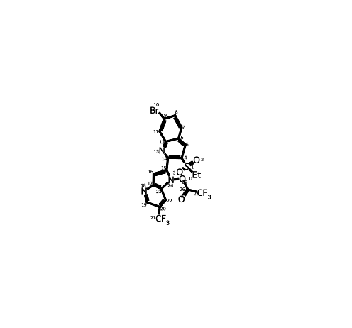 CCS(=O)(=O)c1cc2ccc(Br)cc2nc1-c1cc2ncc(C(F)(F)F)cc2n1OC(=O)C(F)(F)F